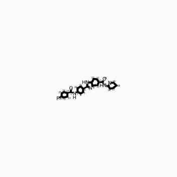 O=C(Nc1ccc(-c2nc3cc(C(=O)Nc4ccccn4)ccc3[nH]2)cc1)c1ccc(F)cc1